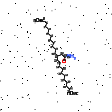 CCCCCCCCCCCCCCCCCCCCC(CCCCCCCCCCCCCCCCCCCC)CC(N)=O